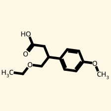 CCOCC(CC(=O)O)c1ccc(OC)cc1